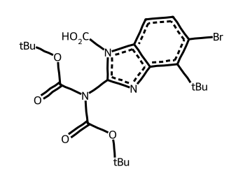 CC(C)(C)OC(=O)N(C(=O)OC(C)(C)C)c1nc2c(C(C)(C)C)c(Br)ccc2n1C(=O)O